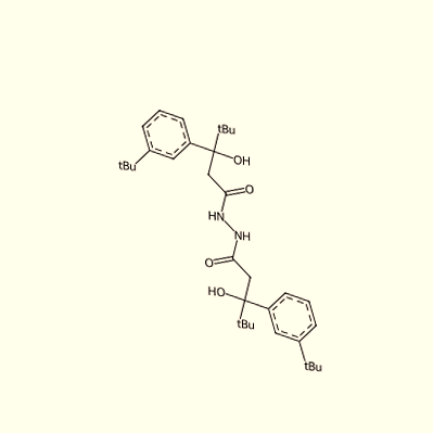 CC(C)(C)c1cccc(C(O)(CC(=O)NNC(=O)CC(O)(c2cccc(C(C)(C)C)c2)C(C)(C)C)C(C)(C)C)c1